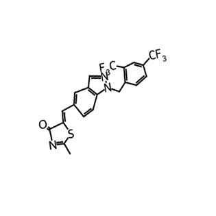 CC1=NC(=O)/C(=C/c2ccc3c(cnn3Cc3ccc(C(F)(F)F)cc3C(F)(F)F)c2)S1